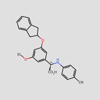 CCOc1cc(OC2Cc3ccccc3C2)cc([C@@H](Nc2ccc(C#N)cc2)C(=O)O)c1